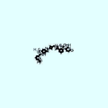 COc1cc2nn(C3CC(CN4CC(c5cccc6c5n(C)c(=O)n6C5CCC(=O)NC5=O)C4)C3)cc2cc1NC(=O)c1cccc(C(F)(F)F)n1